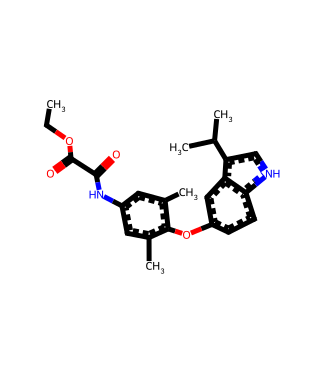 CCOC(=O)C(=O)Nc1cc(C)c(Oc2ccc3[nH]cc(C(C)C)c3c2)c(C)c1